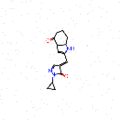 O=C1CCCC2NC(/C=C3\C=NN(C4CC4)C3=O)=CC12